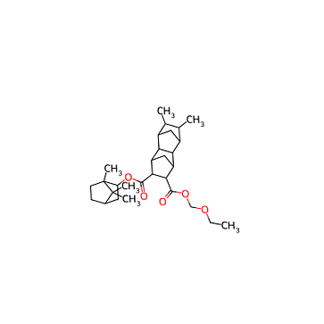 CCOCOC(=O)C1C2CC(C1C(=O)OC1CC3CCC1(C)C3(C)C)C1C3CC(C(C)C3C)C21